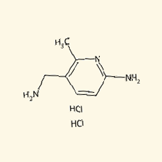 Cc1nc(N)ccc1CN.Cl.Cl